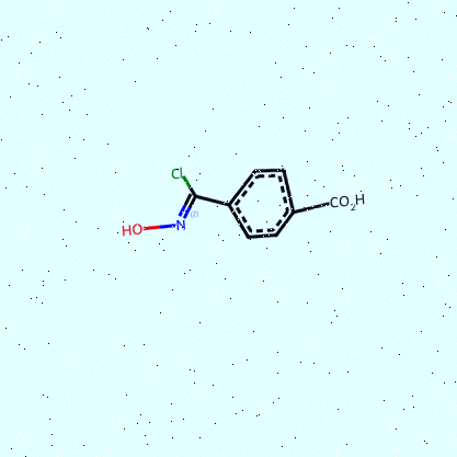 O=C(O)c1ccc(/C(Cl)=N/O)cc1